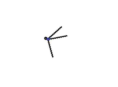 CCCCCCCCCCCCCCCCCCC[N+](CCCCCCCCCCCCCCCCCCC)(CCCCCCCCCCCCCCCCCCC)c1ccccc1